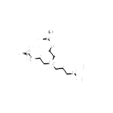 CN(C)CCCN(CCO[PH](=O)O)CCO[PH](=O)O